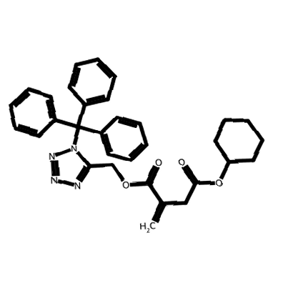 C=C(CC(=O)OC1CCCCC1)C(=O)OCc1nnnn1C(c1ccccc1)(c1ccccc1)c1ccccc1